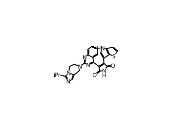 CC(C)c1ncc2n1CCN(c1nc(C3=C(c4c[nH]c5ccsc45)C(=O)NC3=O)c3ccccc3n1)C2